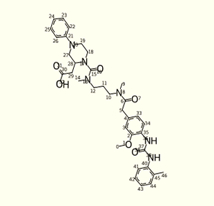 COc1cc(CC(=O)N(C)CCCN(C)C(=O)N2CCN(c3ccccc3)CC2CC(=O)O)ccc1NC(=O)Nc1ccccc1C